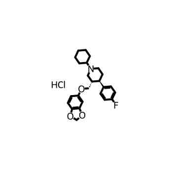 Cl.Fc1ccc([C@@H]2CCN(C3CCCCC3)C[C@H]2COc2ccc3c(c2)OCO3)cc1